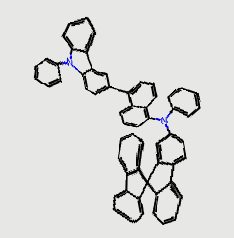 c1ccc(N(c2ccc3c(c2)C2(c4ccccc4-c4ccccc42)c2ccccc2-3)c2cccc3c(-c4ccc5c(c4)c4ccccc4n5-c4ccccc4)cccc23)cc1